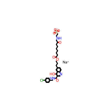 O=C(CCCCCCC(=O)OCCCc1ccc2ncc(C(=O)NCc3ccc(Cl)cc3)c(O)c2c1)CNCCS(=O)(=O)[O-].[Na+]